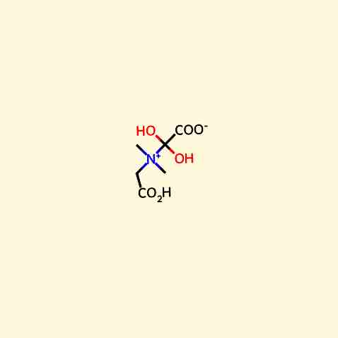 C[N+](C)(CC(=O)O)C(O)(O)C(=O)[O-]